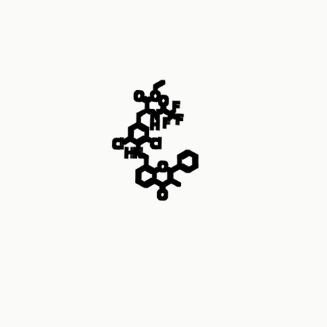 CCOC(=O)[C@H](Cc1cc(Cl)c(NCc2cccc3c(=O)c(C)c(-c4ccccc4)oc23)c(Cl)c1)NC(=O)C(F)(F)F